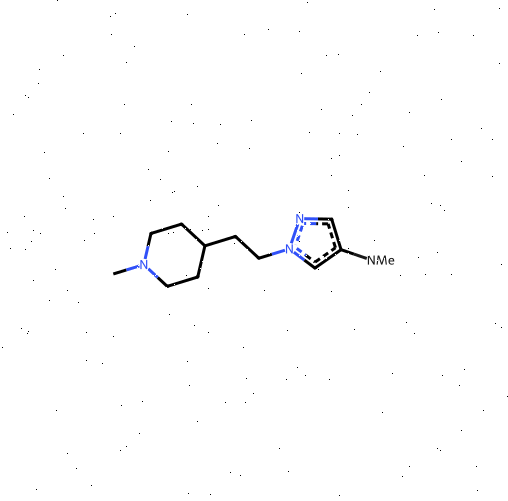 CNc1cnn(CCC2CCN(C)CC2)c1